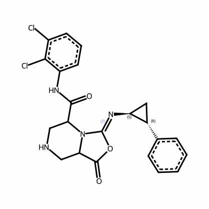 O=C(Nc1cccc(Cl)c1Cl)C1CNCC2C(=O)O/C(=N\[C@H]3C[C@@H]3c3ccccc3)N12